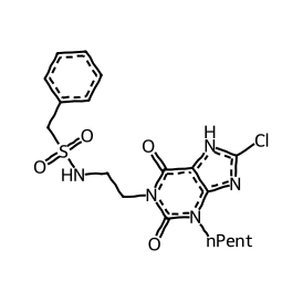 CCCCCn1c(=O)n(CCNS(=O)(=O)Cc2ccccc2)c(=O)c2[nH]c(Cl)nc21